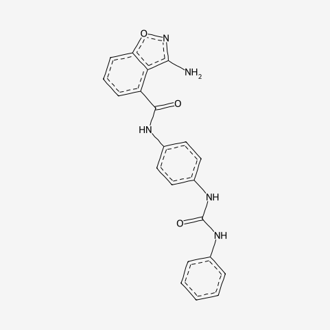 Nc1noc2cccc(C(=O)Nc3ccc(NC(=O)Nc4ccccc4)cc3)c12